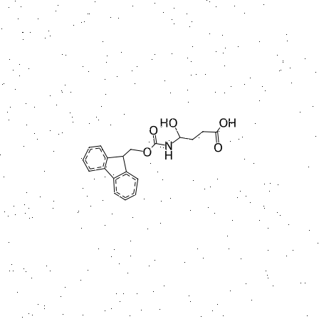 O=C(O)CCC(O)NC(=O)OCC1c2ccccc2-c2ccccc21